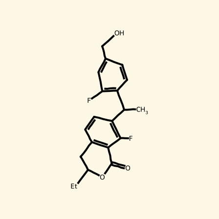 CCC1Cc2ccc(C(C)c3ccc(CO)cc3F)c(F)c2C(=O)O1